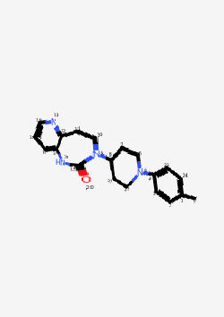 Cc1ccc(N2CCC(N3CCc4ncccc4NC3=O)CC2)cc1